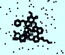 CCCCOc1ccc(C[C@H](NC(=O)OC(C)(C)C)C(=O)N[C@@H](CC(C)C)C(=O)O)cc1-c1cccc2c(C[C@H](NC(=O)OCc3ccccc3)C(=O)OCC)c[nH]c12